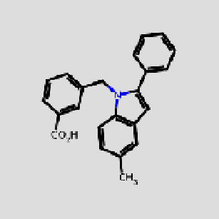 Cc1ccc2c(c1)cc(-c1ccccc1)n2Cc1cccc(C(=O)O)c1